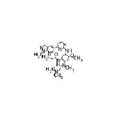 C=CC(=O)Nc1cc(Nc2nccc(-c3cnc4c(cnn4C)c3)n2)c(OC)cc1N(C)CCN(C)C